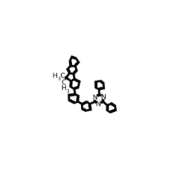 CC1(C)c2cc(-c3cccc(-c4cccc(-c5nc(-c6ccccc6)nc(-c6ccccc6)n5)c4)c3)ccc2-c2cc3ccccc3cc21